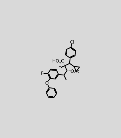 CC(=O)O[C@H](C(C)c1ccc(F)c(Oc2ccccc2)c1)[C@](F)(C(=O)O)C(c1ccc(Cl)cc1)C1CC1